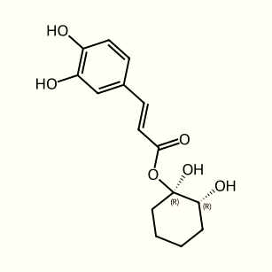 O=C(C=Cc1ccc(O)c(O)c1)O[C@]1(O)CCCC[C@H]1O